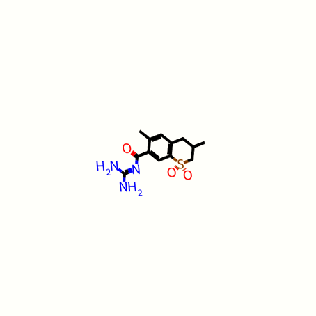 Cc1cc2c(cc1C(=O)N=C(N)N)S(=O)(=O)CC(C)C2